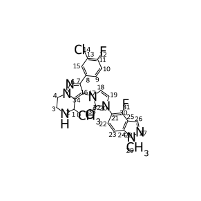 CC1NCCn2nc(-c3ccc(F)c(Cl)c3)c(-n3ccn(-c4ccc5c(cnn5C)c4F)c3=O)c21